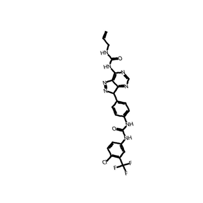 C=CCNC(=O)Nc1ncnc2c1N=NC2c1ccc(NC(=O)Nc2ccc(Cl)c(C(F)(F)F)c2)cc1